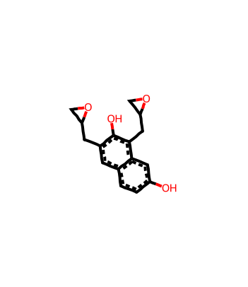 Oc1ccc2cc(CC3CO3)c(O)c(CC3CO3)c2c1